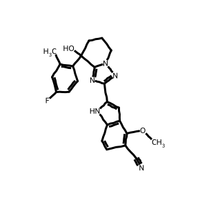 COc1c(C#N)ccc2[nH]c(-c3nc4n(n3)CCCC4(O)c3ccc(F)cc3C)cc12